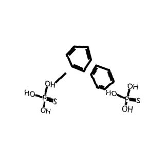 CC.OP(O)(O)=S.OP(O)(O)=S.c1ccccc1.c1ccccc1